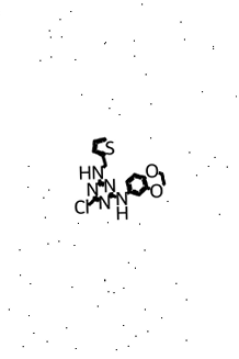 Clc1nc(NCc2cccs2)nc(Nc2ccc3c(c2)OCCO3)n1